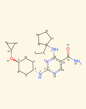 CCC1(Nc2nc(N[C@H]3CC[C@H](OC4CC4)CC3)ncc2C(N)=O)CCCC1